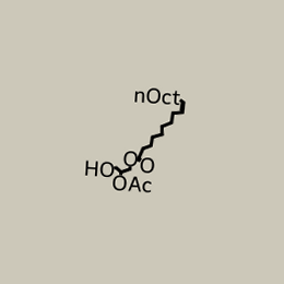 CCCCCCCC/C=C\CCCCCCCC(=O)OCC(CO)OC(C)=O